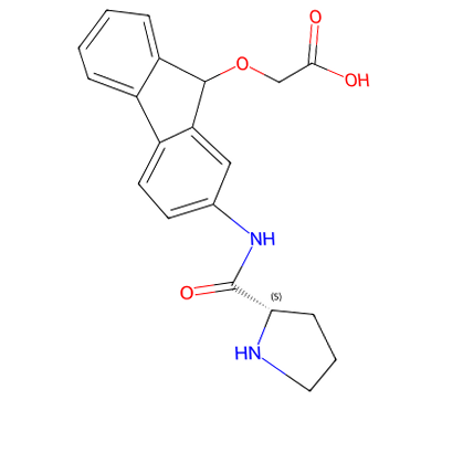 O=C(O)COC1c2ccccc2-c2ccc(NC(=O)[C@@H]3CCCN3)cc21